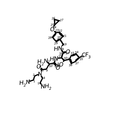 NCCN(CCN)C(=O)CC(N)C(=O)NC(C(=O)NCc1ccc(OC2CC2)cc1)C(O)c1ccc(C(F)(F)F)cc1